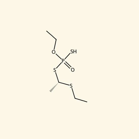 CCOP(=O)(S)S[C@@H](C)SCC